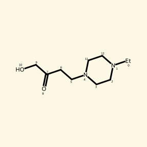 CCN1CCN(CCC(=O)CO)CC1